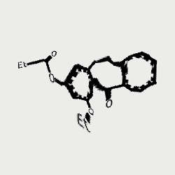 CCOc1cc(OC(=O)CC)cc2c1C(=O)c1ccccc1CC2